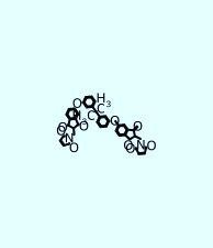 CC(C)(c1cccc(Oc2ccc3c(c2)C(=O)C(CN2C(=O)C=CC2=O)C3=O)c1)c1cccc(Oc2ccc3c(c2)C(=O)C(CN2C(=O)C=CC2=O)C3=O)c1